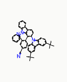 CC(C)(C)c1ccc2c(c1)c1cc(C(C)(C)C)ccc1n2-c1ccc2c3ccccc3n(-c3ccccc3)c2c1-c1ccc(C#N)cc1C#N